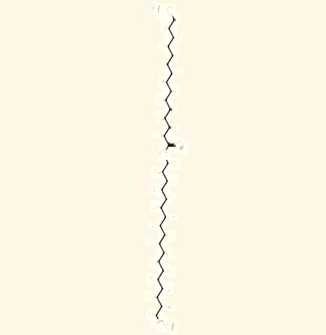 CCCCCCCCCCCCCCCC(=O)OCCCCCCCCCCCCCCCCCCO